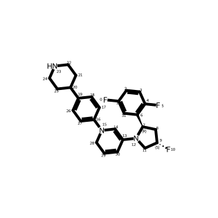 Fc1ccc(F)c([C@H]2C[C@H](F)CN2C2=CN(c3ccc(C4CCNCC4)cc3)CC=C2)c1